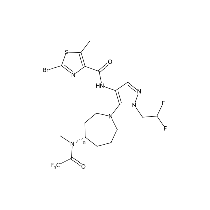 Cc1sc(Br)nc1C(=O)Nc1cnn(CC(F)F)c1N1CCC[C@H](N(C)C(=O)C(F)(F)F)CC1